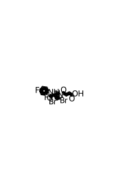 O=C(O)CCC(=O)n1nc(C(=O)Nc2ccc(F)cc2F)c(Br)c1Br